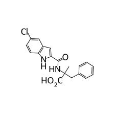 CC(Cc1ccccc1)(NC(=O)c1cc2cc(Cl)ccc2[nH]1)C(=O)O